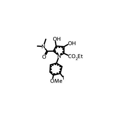 CCOC(=O)c1c(O)c(O)c(C(=O)N(C)C)n1-c1ccc(OC)c(I)c1